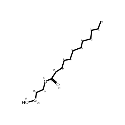 CCCCCCCCCCCC(=O)OCCSO